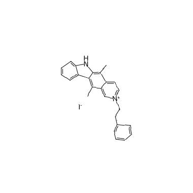 Cc1c2cc[n+](CCc3ccccc3)cc2c(C)c2c1[nH]c1ccccc12.[I-]